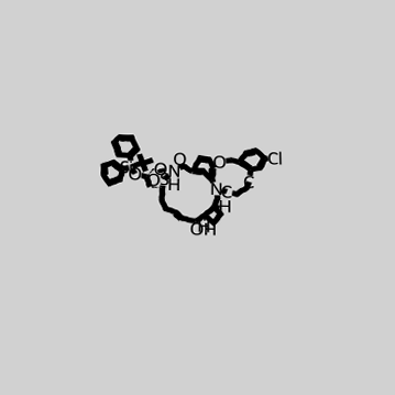 C[C@H](C[C@H]1CC/C=C/C(O)[C@@H]2CC[C@H]2CN2CCCCc3cc(Cl)ccc3COc3ccc(cc32)C(=O)NS1(=O)=O)O[Si](c1ccccc1)(c1ccccc1)C(C)(C)C